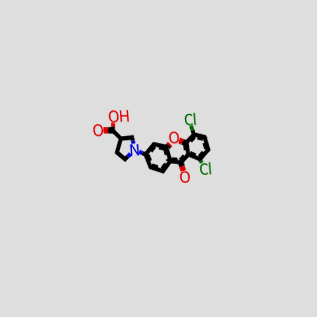 O=C(O)C1CCN(c2ccc3c(=O)c4c(Cl)ccc(Cl)c4oc3c2)C1